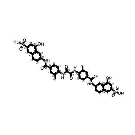 Cc1cc(C(=O)Nc2ccc3cc(S(=O)(=O)O)cc(O)c3c2)ccc1NC(=O)C(=O)Nc1ccc(C(=O)Nc2ccc3cc(S(=O)(=O)O)cc(O)c3c2)cc1C